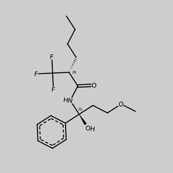 CCCC[C@H](C(=O)N[C@](O)(CCOC)c1ccccc1)C(F)(F)F